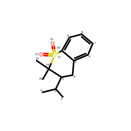 CC(C)C1Cc2ccccc2S(=O)(=O)C1(C)C